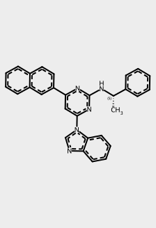 C[C@H](Nc1nc(-c2ccc3ccccc3c2)cc(-n2cnc3ccccc32)n1)c1ccccc1